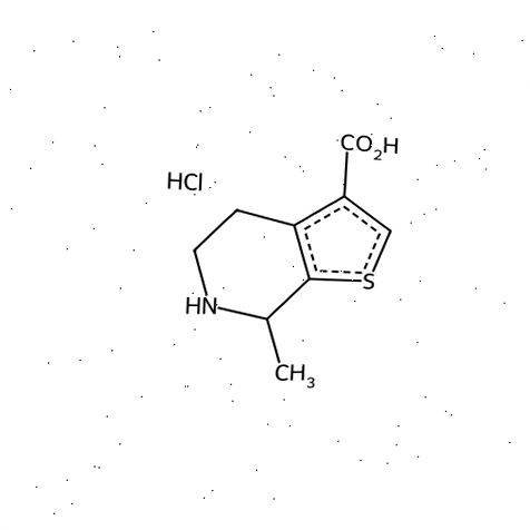 CC1NCCc2c(C(=O)O)csc21.Cl